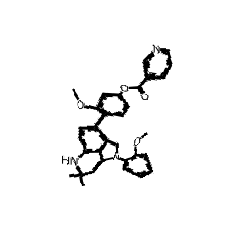 COc1cc(OC(=O)c2cccnc2)ccc1-c1ccc2c3c1CN(c1ccccc1OC)C3=CC(C)(C)N2